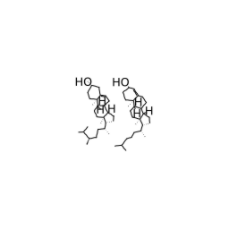 CC(C)CCC[C@@H](C)[C@H]1CC[C@H]2[C@@H]3CCC4=C[C@@H](O)CC[C@]4(C)[C@H]3CC[C@]12C.CC(C)[C@H](C)CC[C@@H](C)[C@H]1CC[C@H]2[C@@H]3CC=C4C[C@@H](O)CC[C@]4(C)[C@H]3CC[C@]12C